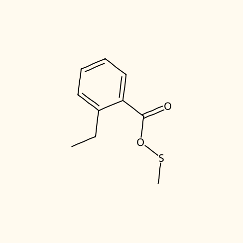 CCc1ccccc1C(=O)OSC